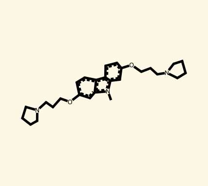 Cn1c2cc(OCCCN3CCCC3)ccc2c2ccc(OCCCN3CCCC3)cc21